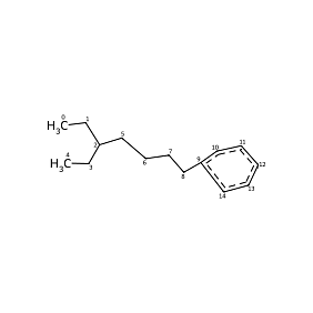 CCC(CC)CCCCc1cc[c]cc1